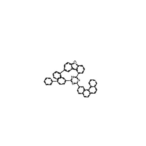 c1ccc(-c2ccc(-c3nc(-c4ccc5ccc6ccc7ccccc7c6c5c4)nc(-c4cccc5oc6ccc(-c7ccccc7)cc6c45)n3)cc2)cc1